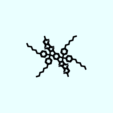 CCCCCCc1ccc(C2(c3ccc(CCCCCC)cc3)c3cc4c(cc3-c3sc5c(sc6cc(C)sc65)c32)C(c2ccc(CCCCCC)cc2)(c2ccc(CCCCCC)cc2)c2c-4sc3c2sc2cc(C)sc23)cc1